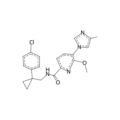 COc1nc(C(=O)NCC2(c3ccc(Cl)cc3)CC2)ccc1-n1cnc(C)c1